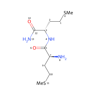 CSCC[C@H](NC(=O)[C@@H](N)CCSC)C(N)=O